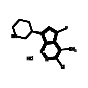 Cc1c(Cl)nnc2c1c(F)cn2[C@@H]1CCCNC1.Cl